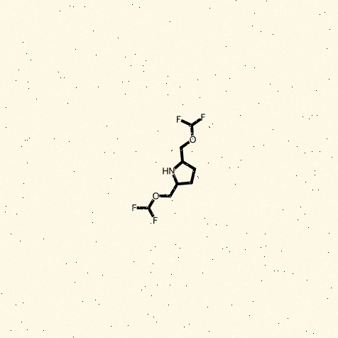 FC(F)OCC1CCC(COC(F)F)N1